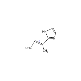 C/C(=C\[C]=O)c1ncc[nH]1